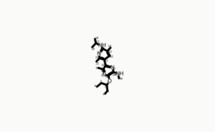 CCC(CC)Oc1nc(C)c(-c2cc(C)c(NC(C)C)nc2C)nc1NC